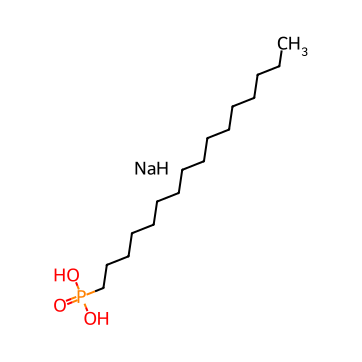 CCCCCCCCCCCCCCCCP(=O)(O)O.[NaH]